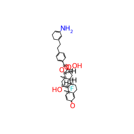 C[C@]12C=CC(=O)C=C1CC[C@H]1[C@@H]3C[C@H]4O[C@H](c5ccc(CCC6=CC(N)=CCC6)cc5)O[C@@]4(C(=O)CO)[C@@]3(C)C[C@H](O)[C@@]12F